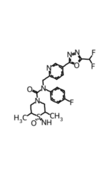 CC1CN(C(=O)N(Cc2ccc(-c3nnc(C(F)F)o3)cn2)c2ccc(F)cc2)CC(C)S1(=N)=O